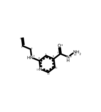 C=CCNc1cc(C(=O)NN)ccn1